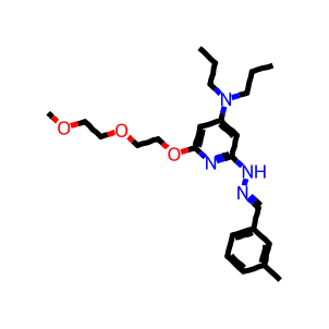 CCCN(CCC)c1cc(N/N=C/c2cccc(C)c2)nc(OCCOCCOC)c1